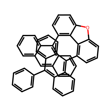 c1ccc(-c2c3ccccc3c(-c3cccc4oc5cccc(-c6c7ccccc7cc7ccccc67)c5c34)c3ccccc23)cc1